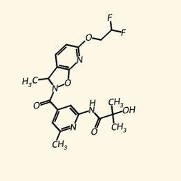 Cc1cc(C(=O)N2Oc3nc(OCC(F)F)ccc3C2C)cc(NC(=O)C(C)(C)O)n1